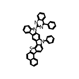 c1ccc(-c2nc(-n3c4ccccc4c4cc5c6c7sc8ccc9ccccc9c8c7ccc6n(-c6ccccc6)c5cc43)nc3ccccc23)cc1